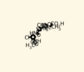 Cc1sc(C(=O)Nc2cc(Cl)cc(NS(C)(=O)=O)c2)cc1-c1ncc(OC(C)(C)C(=O)O)cn1